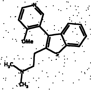 COc1ccncc1-c1c(CCN(C)C)sc2ccccc12